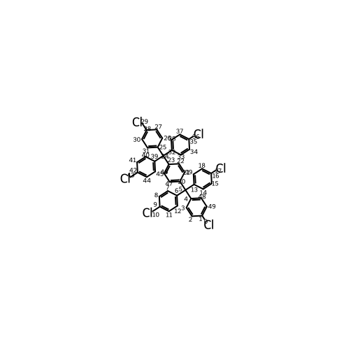 Clc1ccc(C(c2ccc(Cl)cc2)(c2ccc(Cl)cc2)c2ccc(C(c3ccc(Cl)cc3)(c3ccc(Cl)cc3)c3ccc(Cl)cc3)cc2)cc1